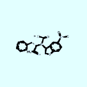 CC(=O)N(C1COc2ccc([N+](=O)[O-])cc21)[C@@H](Cc1ccccc1)C(=O)O